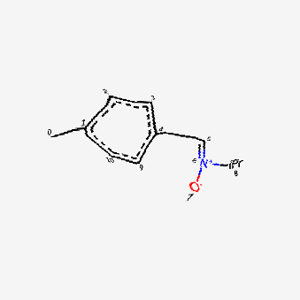 Cc1ccc(C=[N+]([O-])C(C)C)cc1